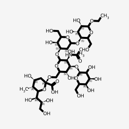 CCOC1OC(CO)[C@@H](OC2OC(CO)[C@H](O)[C@H](OC3OC(CO[C@]4(C(=O)O)C[C@@H](O)[C@@H](C)C([C@H](O)[C@H](O)CO)O4)[C@@H](O)[C@H](O[C@@H]4OC(CO)[C@H](O)[C@H](O)C4O)[C@@H]3NC(C)=O)[C@@H]2O)[C@H](O)[C@@H]1O